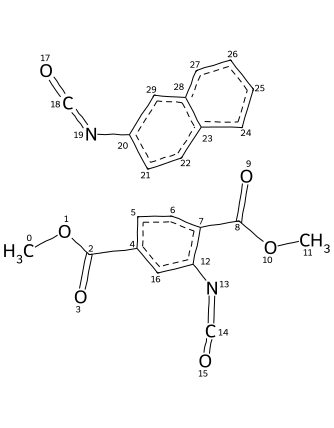 COC(=O)c1ccc(C(=O)OC)c(N=C=O)c1.O=C=Nc1ccc2ccccc2c1